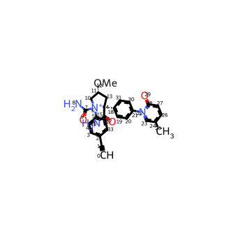 C#Cc1ccc([N+]2(C(N)=O)C[C@H](OC)C[C@]2(C(N)=O)c2ccc(-n3cc(C)ccc3=O)cc2)cc1